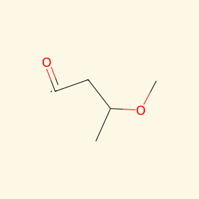 COC(C)C[C]=O